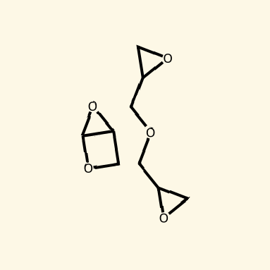 C(OCC1CO1)C1CO1.C1OC2OC12